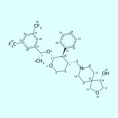 C[C@@H](O[C@H]1OCC[C@@H](CN2CCC3(CC2)COC[C@H]3O)[C@@H]1c1ccccc1)c1cc(C(F)(F)F)cc(C(F)(F)F)c1